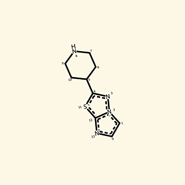 c1cn2nc(C3CCNCC3)sc2n1